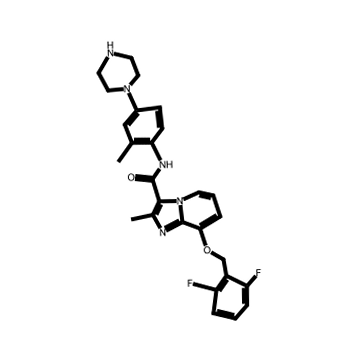 Cc1cc(N2CCNCC2)ccc1NC(=O)c1c(C)nc2c(OCc3c(F)cccc3F)cccn12